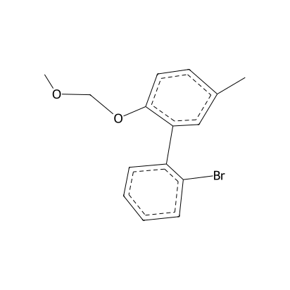 COCOc1ccc(C)cc1-c1ccccc1Br